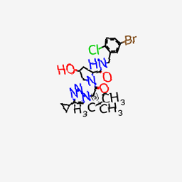 CC(C)(C)[C@@H](C(=O)N1CC(O)CC1C(=O)NCc1cc(Br)ccc1Cl)n1cc(C2CC2)nn1